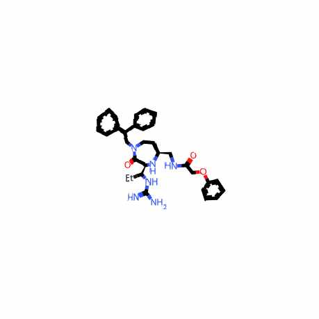 CCC(NC(=N)N)[C@@H]1N[C@H](CNC(=O)COc2ccccc2)CCN(CC(c2ccccc2)c2ccccc2)C1=O